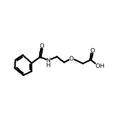 O=C(O)COCCNC(=O)c1ccccc1